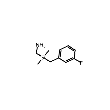 C[Si](C)(CN)Cc1cccc(F)c1